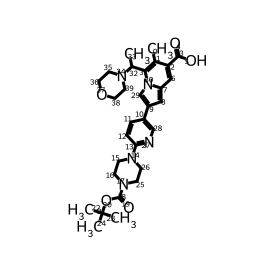 Cc1c(C(=O)O)cc2cc(-c3ccc(N4CCN(C(=O)OC(C)(C)C)CC4)nc3)cn2c1C(C)N1CCOCC1